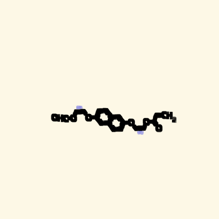 C=CC(=O)O/C=C\Oc1ccc2cc(O/C=C\OC=O)ccc2c1